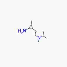 CC1C(N)C1/C=C/N(C)C(C)C